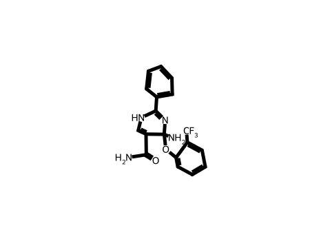 NC(=O)C1=CNC(c2ccccc2)=NC1(N)Oc1ccccc1C(F)(F)F